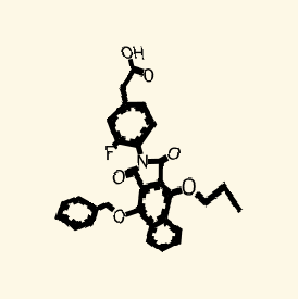 CCCOc1c2c(c(OCc3ccccc3)c3ccccc13)C(=O)N(c1ccc(CC(=O)O)cc1F)C2=O